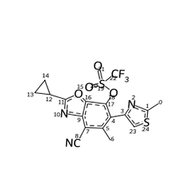 Cc1nc(-c2c(C)c(C#N)c3nc(C4CC4)oc3c2OS(=O)(=O)C(F)(F)F)cs1